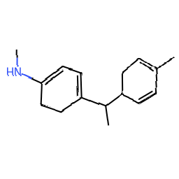 CNC1=CC=C(C(C)C2C=CC(C)=CC2)CC1